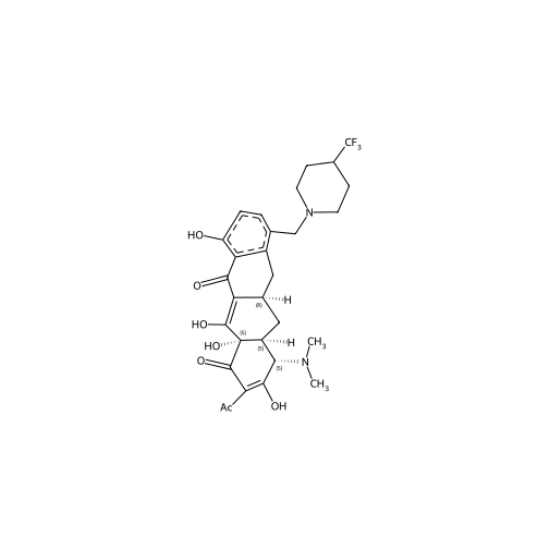 CC(=O)C1=C(O)[C@@H](N(C)C)[C@@H]2C[C@@H]3Cc4c(CN5CCC(C(F)(F)F)CC5)ccc(O)c4C(=O)C3=C(O)[C@]2(O)C1=O